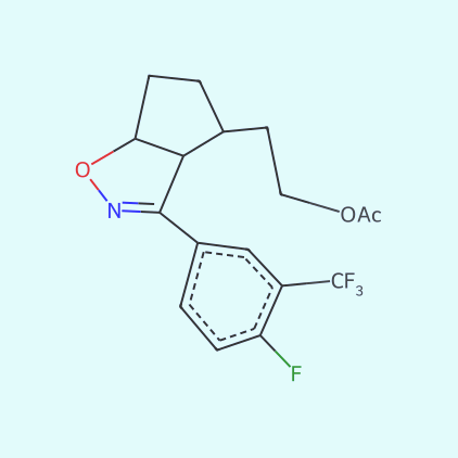 CC(=O)OCCC1CCC2ON=C(c3ccc(F)c(C(F)(F)F)c3)C12